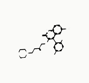 O=C(CCN1CCSCC1)CSc1c(-c2cc(Cl)ccc2O)c2cc(C(F)(F)F)ccc2[nH]c1=O